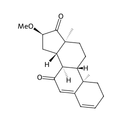 CO[C@@H]1C[C@H]2[C@@H]3C(=O)C=C4C=CCC[C@]4(C)[C@H]3CC[C@]2(C)C1=O